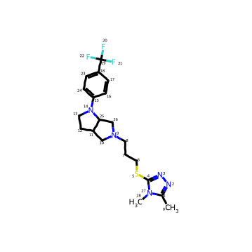 Cc1nnc(SCCCN2CC3CCN(c4ccc(C(F)(F)F)cc4)C3C2)n1C